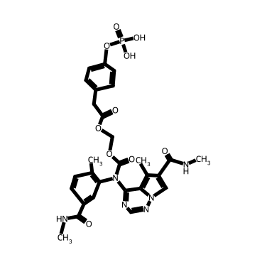 CNC(=O)c1ccc(C)c(N(C(=O)OCOC(=O)Cc2ccc(OP(=O)(O)O)cc2)c2ncnn3cc(C(=O)NC)c(C)c23)c1